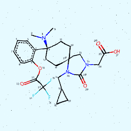 CN(C)[C@]1(c2ccccc2OC(=O)C(F)(F)F)CC[C@@]2(CC1)CN(CC(=O)O)C(=O)N2CC1CC1